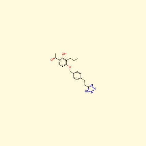 CCCc1c(OCc2ccc(CCc3nnn[nH]3)cc2)ccc(C(C)=O)c1O